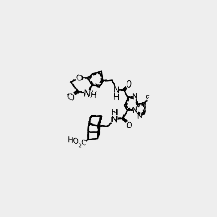 O=C1COc2ccc(CNC(=O)c3cc(C(=O)NCC45C6C7C4C4C5C6C74C(=O)O)n4ncc(F)c4n3)cc2N1